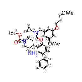 COCCCOc1cc(CN(C(=O)[C@H]2CN(C(=O)OC(C)(C)C)C[C@@H](N)[C@@H]2c2cccc(-c3ccccc3)c2)C2CC2)cc(OC)c1